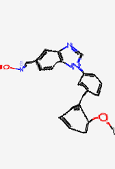 CC(C)Oc1ccccc1-c1cccc(-n2cnc3cc(/C=N/O)ccc32)c1